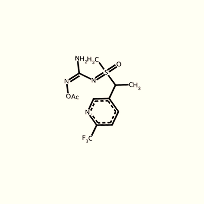 CC(=O)O/N=C(/N)N=S(C)(=O)C(C)c1ccc(C(F)(F)F)nc1